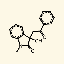 CN1C(=O)C(O)(CC(=O)c2ccccc2)c2ccccc21